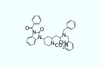 CC(CC1CC(n2c(=O)n(C(=O)c3ccccc3)c3ccccc32)CCN1C(=O)O)N(Cc1ccccc1)Cc1ccccc1